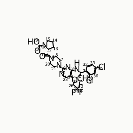 C[C@@H](Nc1nc(N2CCN(C(=O)[C@H]3CCCN3C(=O)O)CC2)ncc1OCC(F)(F)F)c1ccc(Cl)cc1Cl